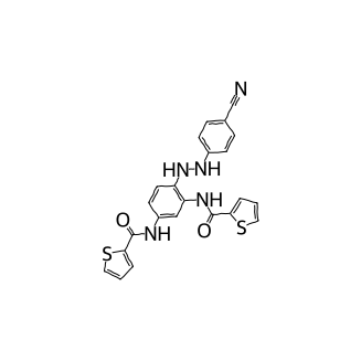 N#Cc1ccc(NNc2ccc(NC(=O)c3cccs3)cc2NC(=O)c2cccs2)cc1